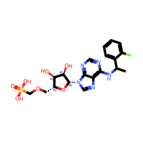 CC(Nc1ncnc2c1ncn2[C@@H]1O[C@H](COCP(=O)(O)O)[C@@H](O)[C@H]1O)c1ccccc1F